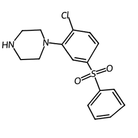 O=S(=O)(c1ccccc1)c1ccc(Cl)c(N2CCNCC2)c1